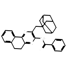 O=C(Nc1nc2c(nc1CC13CC4CC(CC(C4)C1)C3)-c1ccccc1CC2)c1ccccc1